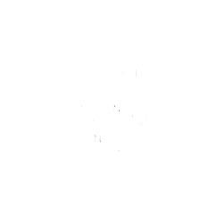 Cc1ccc([N+](=O)[O-])n1C